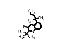 CCCC(C)(C)c1cccc2nc(C(C)(C)C)c(F)cc12